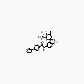 CN1C(=O)CC(C)(c2cc(NC(=O)c3cnc(-c4ccsc4)cn3)ccc2F)N=C1N